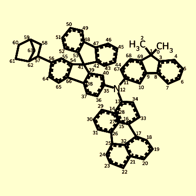 CC1(C)c2ccccc2-c2cc(N(c3ccc(-c4cccc5cccc(-c6ccccc6)c45)cc3)c3ccc4c(c3)C3(c5ccccc5-c5ccccc53)c3cc(C5CC6CCC5C6)ccc3-4)ccc21